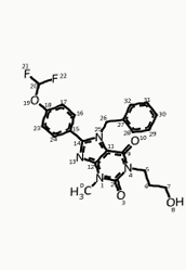 Cn1c(=O)n(CCCO)c(=O)c2c1nc(-c1ccc(OC(F)F)cc1)n2Cc1ccccc1